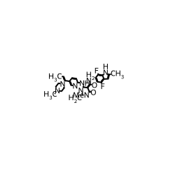 C=C/N=C(Nc1ccc(C(=CC)N2CCN(C)CC2)cn1)\C(C(=O)NC)=C(/N)Oc1cc(F)c2[nH]c(C)cc2c1F